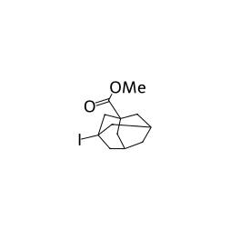 COC(=O)C12CC3CC(CC(I)(C3)C1)C2